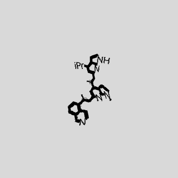 CC(C)c1cc(C[C@H](C)c2cc(C[C@H](C)c3cccc4cnccc34)nc3c2ccn3C)nc2[nH]ccc12